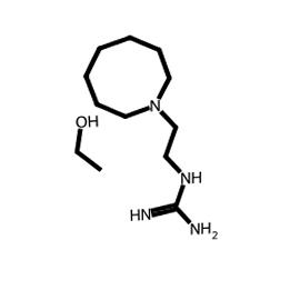 CCO.N=C(N)NCCN1CCCCCCC1